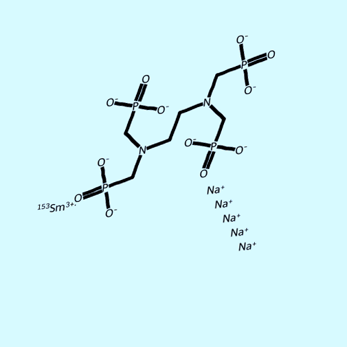 O=P([O-])([O-])CN(CCN(CP(=O)([O-])[O-])CP(=O)([O-])[O-])CP(=O)([O-])[O-].[153Sm+3].[Na+].[Na+].[Na+].[Na+].[Na+]